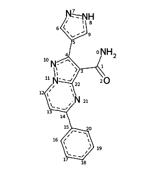 NC(=O)c1c(-c2cn[nH]c2)nn2ccc(-c3ccccc3)nc12